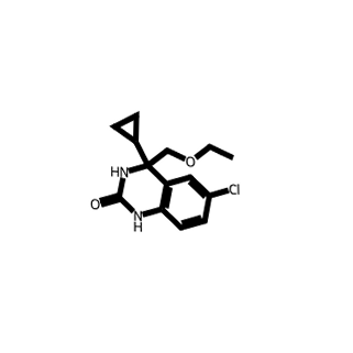 CCOCC1(C2CC2)NC(=O)Nc2ccc(Cl)cc21